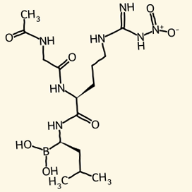 CC(=O)NCC(=O)N[C@@H](CCCNC(=N)N[N+](=O)[O-])C(=O)N[C@@H](CC(C)C)B(O)O